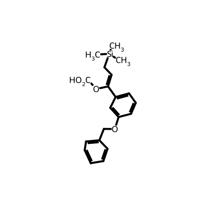 C[Si](C)(C)CC=C(OC(=O)O)c1cccc(OCc2ccccc2)c1